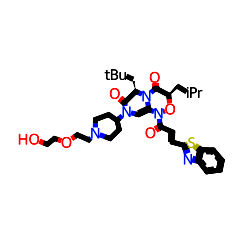 CC(C)C[C@H]1ON(C(=O)/C=C/c2nc3ccccc3s2)C2=CN(C3CCN(CCOCCO)CC3)C(=O)[C@H](CC(C)(C)C)N2C1=O